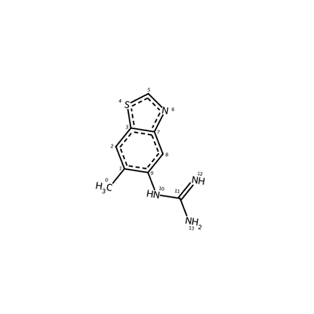 Cc1cc2scnc2cc1NC(=N)N